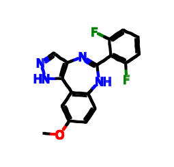 COc1ccc2c(c1)-c1[nH]ncc1N=C(c1c(F)cccc1F)N2